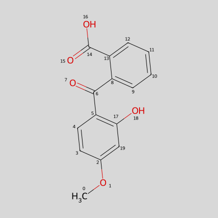 COc1ccc(C(=O)c2ccccc2C(=O)O)c(O)c1